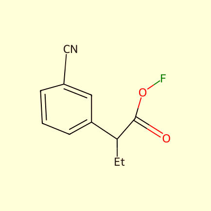 CCC(C(=O)OF)c1cccc(C#N)c1